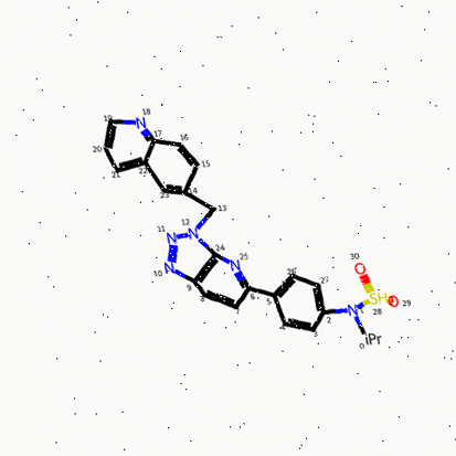 CC(C)N(c1ccc(-c2ccc3nnn(Cc4ccc5ncccc5c4)c3n2)cc1)[SH](=O)=O